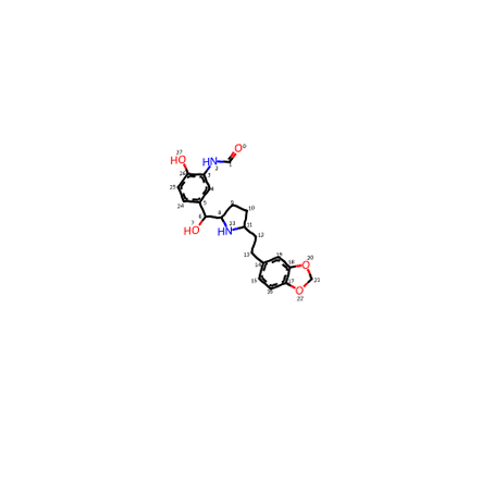 O=CNc1cc(C(O)C2CCC(CCc3ccc4c(c3)OCO4)N2)ccc1O